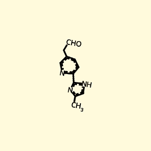 Cc1c[nH]c(-c2ccc(CC=O)cn2)n1